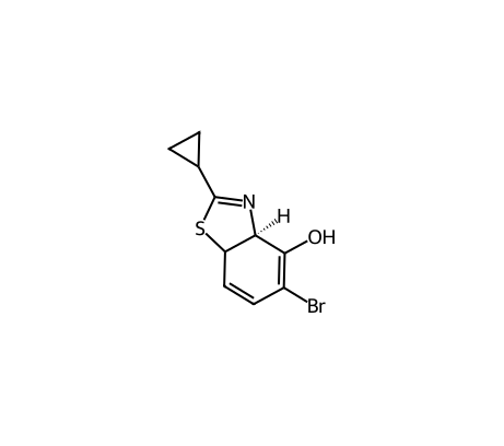 OC1=C(Br)C=CC2SC(C3CC3)=N[C@@H]12